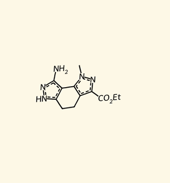 CCOC(=O)c1nn(C)c2c1CCc1[nH]nc(N)c1-2